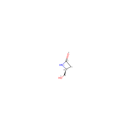 O=C1C[C@@H](CO)N1